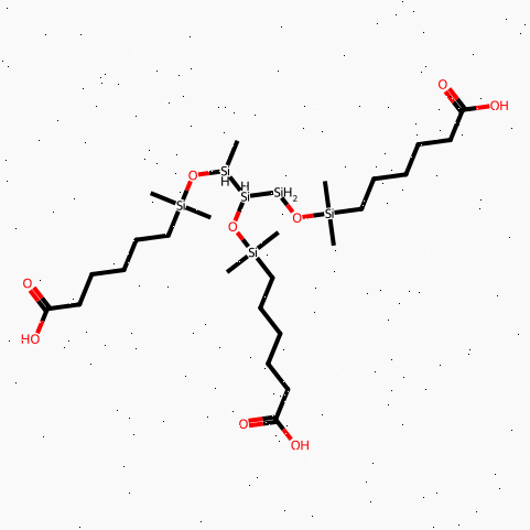 C[SiH](O[Si](C)(C)CCCCCC(=O)O)[SiH](O[Si](C)(C)CCCCCC(=O)O)[SiH2]O[Si](C)(C)CCCCCC(=O)O